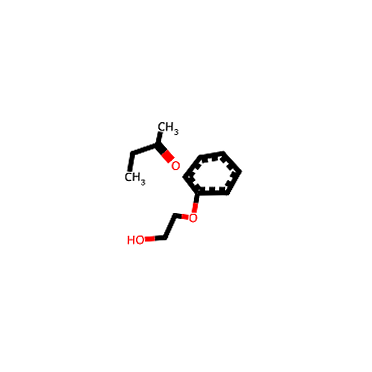 CCC(C)=O.OCCOc1ccccc1